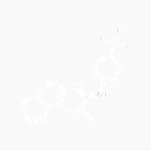 CC(OC1=CC=CC2C=CC=CC12)C(=O)Nc1ccc(C(F)(F)F)cc1